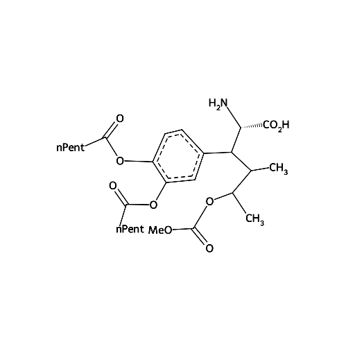 CCCCCC(=O)Oc1ccc(C(C(C)C(C)OC(=O)OC)[C@H](N)C(=O)O)cc1OC(=O)CCCCC